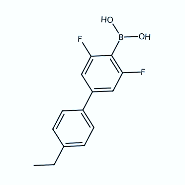 CCc1ccc(-c2cc(F)c(B(O)O)c(F)c2)cc1